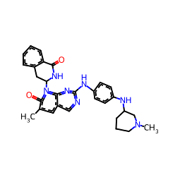 Cc1cc2cnc(Nc3ccc(NC4CCCN(C)C4)cc3)nc2n(C2Cc3ccccc3C(=O)N2)c1=O